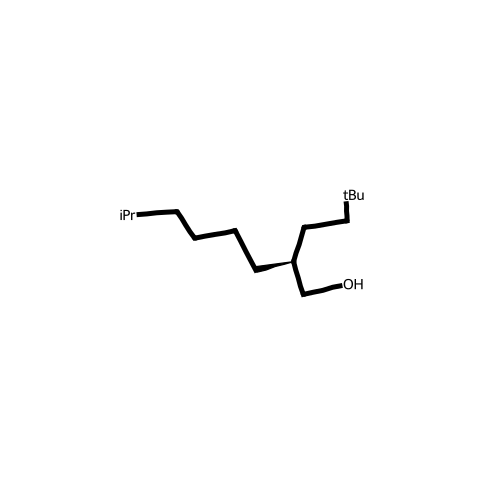 CC(C)CCCC[C@H](CO)CCC(C)(C)C